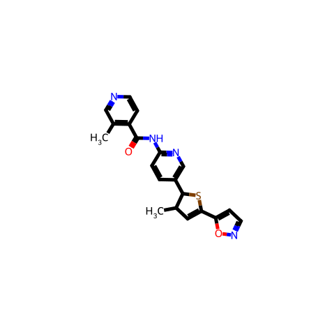 Cc1cnccc1C(=O)Nc1ccc(C2SC(c3ccno3)=CC2C)cn1